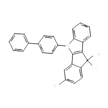 CC1(C)c2ccc(Br)cc2-c2c1c1ccccc1n2-c1ccc(-c2ccccc2)cc1